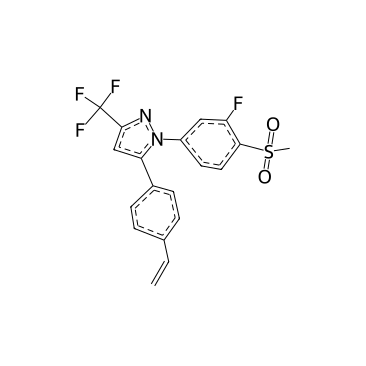 C=Cc1ccc(-c2cc(C(F)(F)F)nn2-c2ccc(S(C)(=O)=O)c(F)c2)cc1